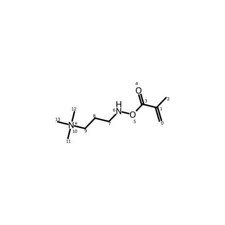 C=C(C)C(=O)ONCCC[N+](C)(C)C